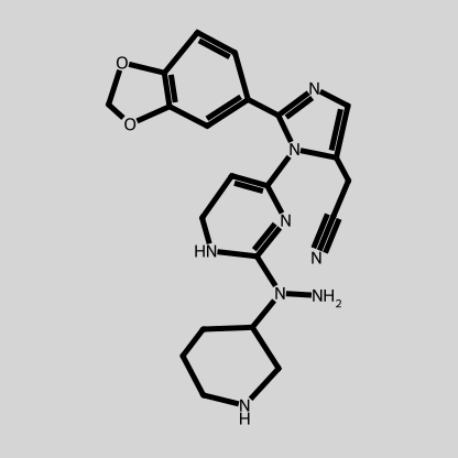 N#CCc1cnc(-c2ccc3c(c2)OCO3)n1C1=CCNC(N(N)C2CCCNC2)=N1